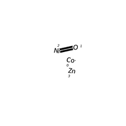 [Co].[O]=[Ni].[Zn]